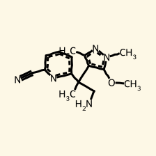 COc1c(C(C)(CN)c2cccc(C#N)n2)c(C)nn1C